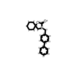 O=C1OC2(CCCCC2)CN1Cc1ccc(-c2ccccc2)cc1